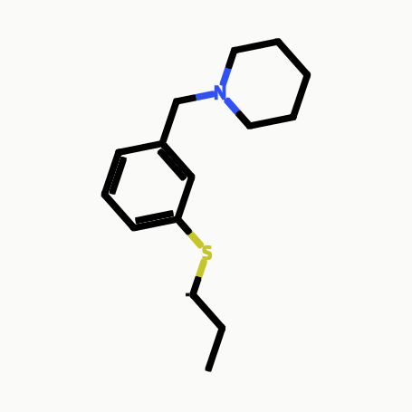 CC[CH]Sc1cccc(CN2CCCCC2)c1